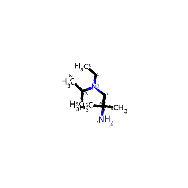 CCN(CC(C)(C)N)C(C)C